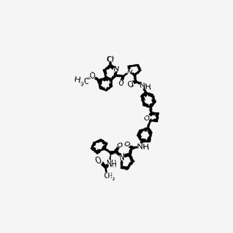 COc1cccc2c(C(=O)N3CCCC3C(=O)Nc3ccc(-c4ccc(-c5ccc(NC(=O)C6CCCN6C(=O)[C@@H](NC(C)=O)c6ccccc6)cc5)o4)cc3)nc(Cl)cc12